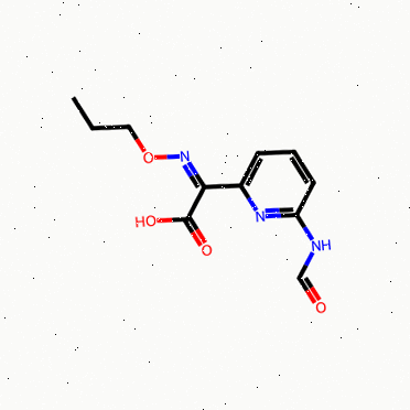 CCCO/N=C(\C(=O)O)c1cccc(NC=O)n1